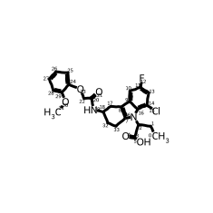 CCC(C(=O)O)n1c2c(c3cc(F)cc(Cl)c31)CC(NC(=O)COc1ccccc1OC)CC2